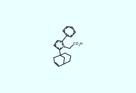 O=C(O)Cn1c(-c2ccccc2)ccc1C12CC=CC(CCC1)C2